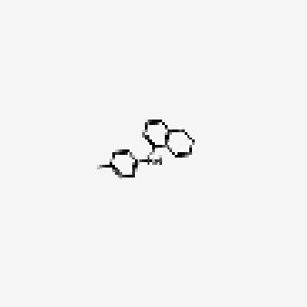 Cc1ccc(Nc2cccc3c2C=CCC3)cc1